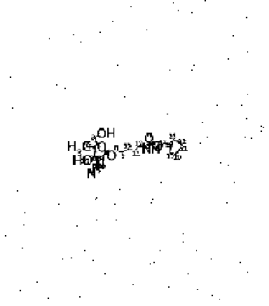 C[C@H]1C(CO)O[C@@H](OCCCCCNC(=O)OCc2ccccc2)C(N=[N+]=[N-])[C@H]1O